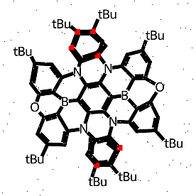 CC(C)(C)c1ccc(N2c3cc(C(C)(C)C)cc4c3B3c5c(cc(C(C)(C)C)cc5N(c5ccc(C(C)(C)C)cc5)c5c3c2c2c3c5N(c5ccc(C(C)(C)C)cc5)c5cc(C(C)(C)C)cc6c5B3c3c(cc(C(C)(C)C)cc3N2c2ccc(C(C)(C)C)cc2)O6)O4)cc1